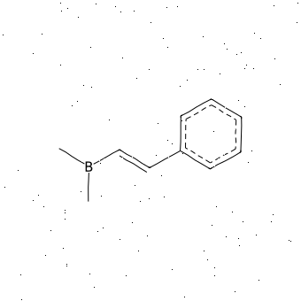 CB(C)/C=C/c1ccccc1